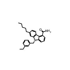 CCCCCc1c[c]c2c3c(C(N)=O)cccc3n(Cc3cccc(CC)c3)c2c1